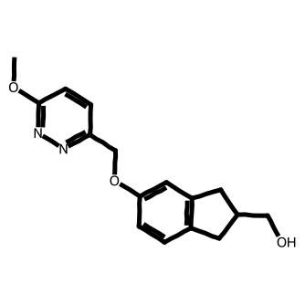 COc1ccc(COc2ccc3c(c2)CC(CO)C3)nn1